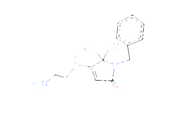 CC1(C)C(NCCN)=CC(=O)N1Cc1ccccc1